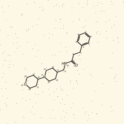 O=C(CCc1ccccc1)NCC1CCN(C2CCOCC2)CC1